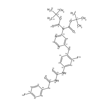 CC(C)(C)OC(=O)N(C(=O)OC(C)(C)C)c1cc(Oc2ccc(NC(=S)NC(=O)Cc3ccc(F)cc3)cc2F)ncn1